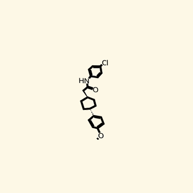 COc1ccc([C@H]2CC[C@H](CC(=O)Nc3ccc(Cl)cc3)CC2)cc1